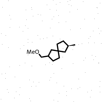 COCC1CCC2(CC[C@@H](C)C2)C1